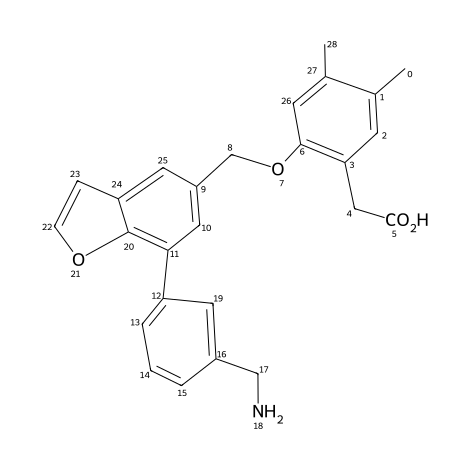 Cc1cc(CC(=O)O)c(OCc2cc(-c3cccc(CN)c3)c3occc3c2)cc1C